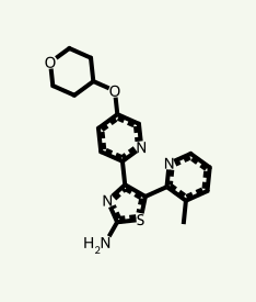 Cc1cccnc1-c1sc(N)nc1-c1ccc(OC2CCOCC2)cn1